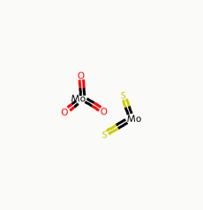 [O]=[Mo](=[O])=[O].[S]=[Mo]=[S]